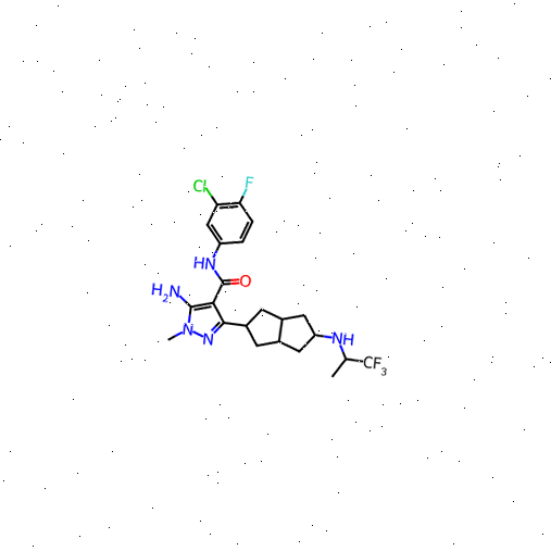 CC(NC1CC2CC(c3nn(C)c(N)c3C(=O)Nc3ccc(F)c(Cl)c3)CC2C1)C(F)(F)F